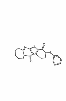 O=C1c2sc3c(c2CCC1Sc1ccccc1)[N+](=O)C1CCCCCC1=N3